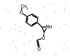 COc1ccc(C2N[C@H]2OC=O)cc1